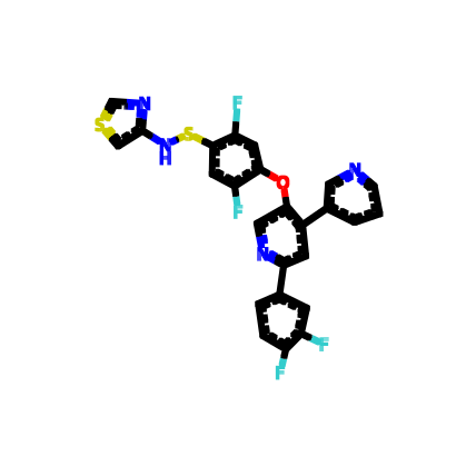 Fc1ccc(-c2cc(-c3cccnc3)c(Oc3cc(F)c(SNc4cscn4)cc3F)cn2)cc1F